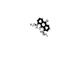 CNc1cccc2c1C(=O)c1c(NN)cccc1C2=O